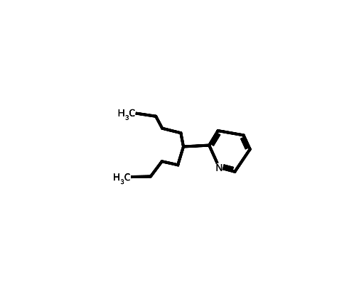 CCCCC(CCCC)c1ccccn1